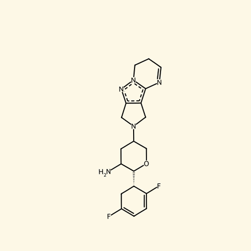 NC1CC(N2Cc3nn4c(c3C2)N=CCC4)COC1[C@H]1CC(F)=CC=C1F